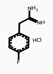 Cl.N=C(N)Cc1ccc(F)cc1